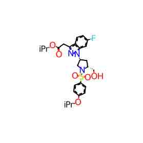 CC(C)OC(=O)Cc1nn([C@@H]2C[C@H](CO)N(S(=O)(=O)c3ccc(OC(C)C)cc3)C2)c2cc(F)ccc12